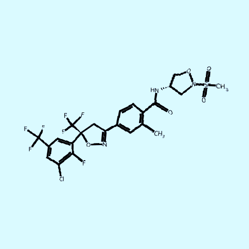 Cc1cc(C2=NO[C@@](c3cc(C(F)(F)F)cc(Cl)c3F)(C(F)(F)F)C2)ccc1C(=O)N[C@@H]1CON(S(C)(=O)=O)C1